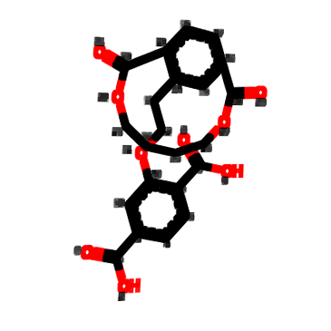 O=C(O)c1ccc(C(=O)O)c(OCCc2cc3ccc2C(=O)OCCCCOC3=O)c1